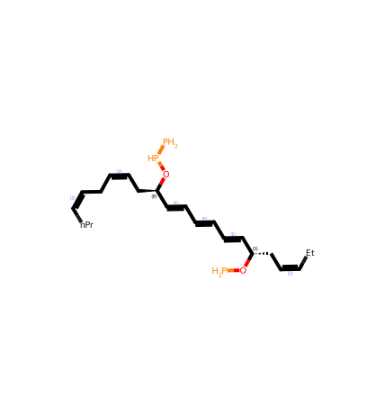 CC/C=C\C[C@@H](/C=C/C=C/C=C/[C@@H](C/C=C\C/C=C\CCC)OPP)OP